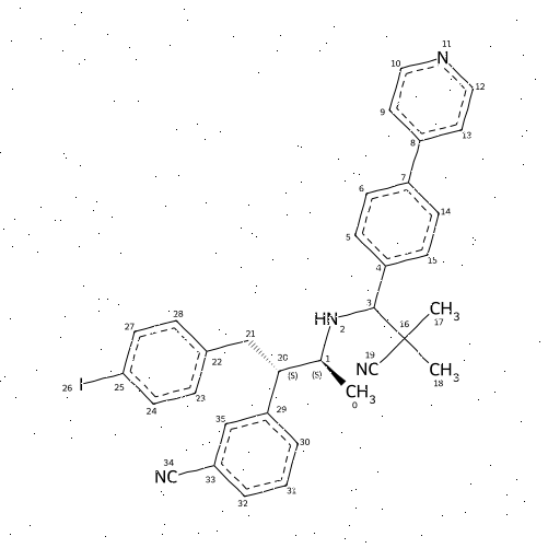 C[C@H](NC(c1ccc(-c2ccncc2)cc1)C(C)(C)C#N)[C@@H](Cc1ccc(I)cc1)c1cccc(C#N)c1